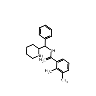 C=C(NC(c1ccccc1)C1CCCCN1)c1cccc(C)c1C